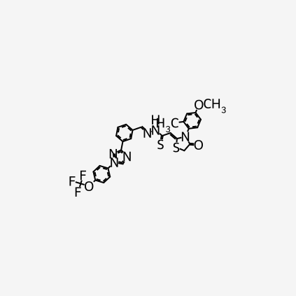 COc1ccc(N2C(=O)CS/C2=C\C(=S)N/N=C/c2cccc(-c3ncn(-c4ccc(OC(F)(F)F)cc4)n3)c2)c(C)c1